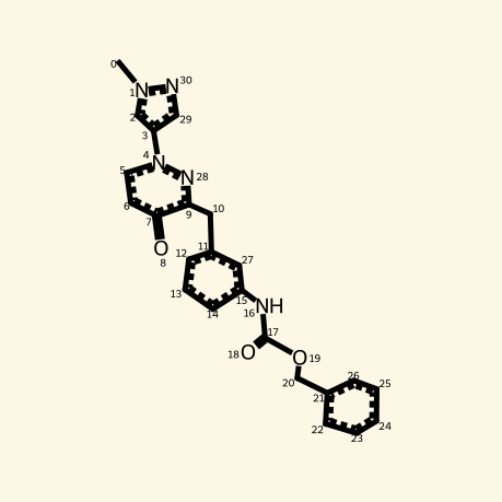 Cn1cc(-n2ccc(=O)c(Cc3cccc(NC(=O)OCc4ccccc4)c3)n2)cn1